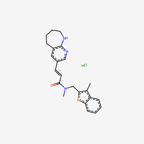 Cc1c(CN(C)C(=O)/C=C/c2cnc3c(c2)CCCCN3)sc2ccccc12.Cl